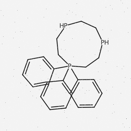 c1ccc(P2(c3ccccc3)(c3ccccc3)CCPCCPCC2)cc1